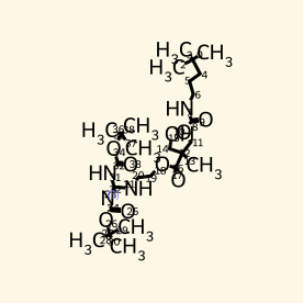 CC(C)(C)CCCNC(=O)OCC(C)(CO)C(=O)OCCN/C(=N\C(=O)OC(C)(C)C)NC(=O)OC(C)(C)C